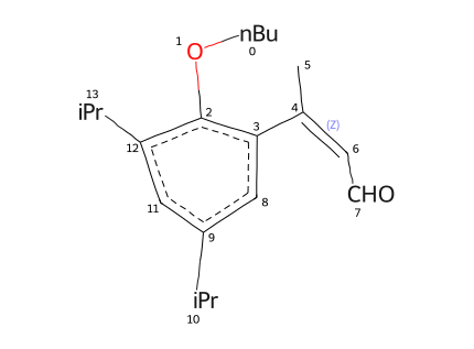 CCCCOc1c(/C(C)=C\C=O)cc(C(C)C)cc1C(C)C